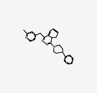 Cc1cc(CC2=NN=C(N3CCC(c4ccccc4)CC3)C3CC=CC=C23)ccn1